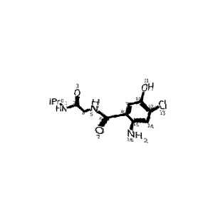 CC(C)NC(=O)CNC(=O)c1cc(O)c(Cl)cc1N